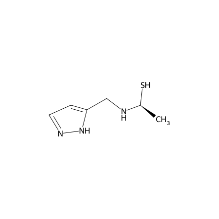 C[C@H](S)NCc1ccn[nH]1